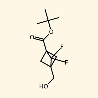 CC(C)(C)OC(=O)C12CC(CO)(C1)C2(F)F